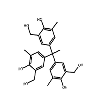 Cc1cc(C(C)(c2cc(C)c(O)c(CO)c2)c2cc(C)c(O)c(CO)c2)cc(CO)c1O